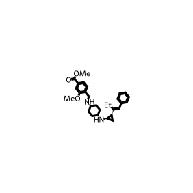 CC/C(=C\c1ccccc1)[C@@H]1C[C@H]1N[C@H]1CC[C@H](NCc2ccc(C(=O)OC)cc2OC)CC1